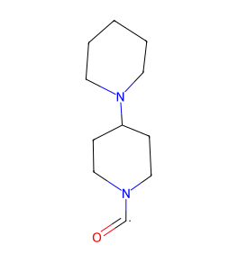 O=[C]N1CCC(N2CCCCC2)CC1